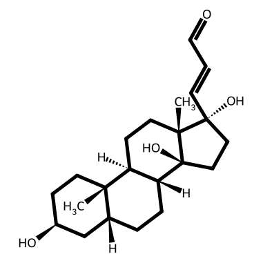 C[C@]12CC[C@H](O)C[C@H]1CC[C@@H]1[C@@H]2CC[C@]2(C)[C@@](O)(/C=C/C=O)CC[C@]12O